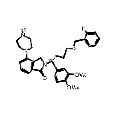 CCN1CCN(c2cccc3c2CN([C@H](CCCOCc2ccccc2F)c2ccc(OC)c(OC)c2)C3=O)CC1